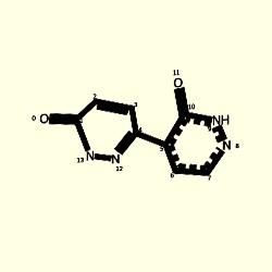 O=C1C=CC(c2ccn[nH]c2=O)=N[N]1